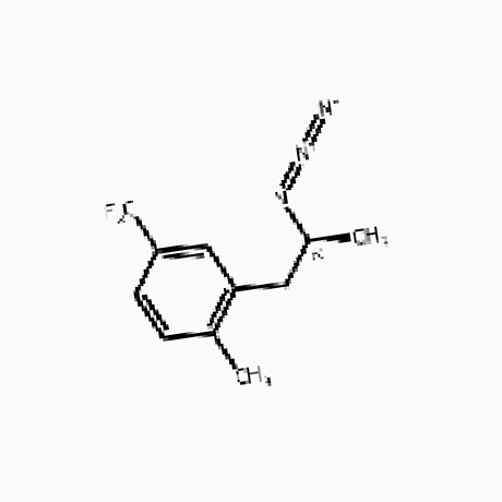 Cc1ccc(C(F)(F)F)cc1C[C@H](C)N=[N+]=[N-]